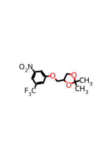 CC1(C)OCC(COc2cc([N+](=O)[O-])cc(C(F)(F)F)c2)O1